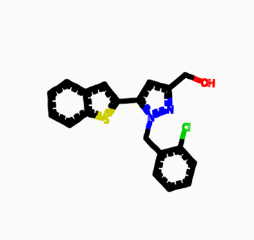 OCc1cc(-c2cc3ccccc3s2)n(Cc2ccccc2Cl)n1